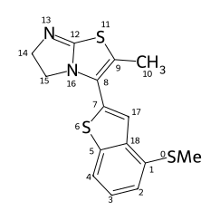 CSc1cccc2sc(C3=C(C)SC4=NCCN43)cc12